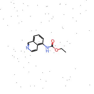 CCOC(=O)Nc1cccc2cnccc12